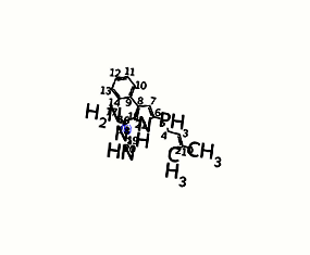 CC(C)=CCPc1cc(-c2ccccc2)c(/C(N)=N\C=N)[nH]1